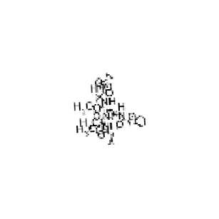 C=CC1CC1(NC(=O)[C@@H]1C[C@@H](NC(=O)c2cc3ccccc3o2)CN1C(=O)[C@@H](NC(=O)CC1CC1)C(C)(C)C)C(=O)NS(=O)(=O)C1CC1